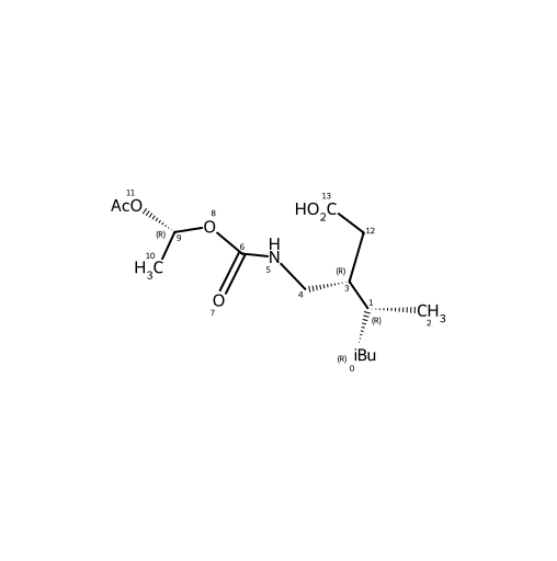 CC[C@@H](C)[C@@H](C)[C@H](CNC(=O)O[C@H](C)OC(C)=O)CC(=O)O